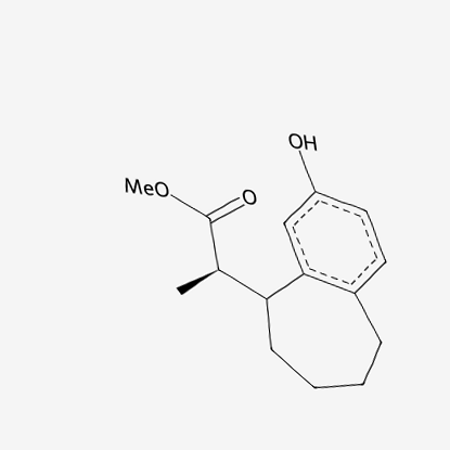 COC(=O)[C@H](C)C1CCCCc2ccc(O)cc21